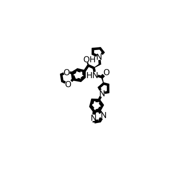 O=C(N[C@H](CN1CCCC1)[C@H](O)c1ccc2c(c1)OCCO2)[C@H]1CCN(c2ccc3nccnc3c2)C1